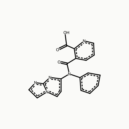 O=C(O)c1ncccc1C(=O)N(c1ccccc1)c1ccn2ccnc2n1